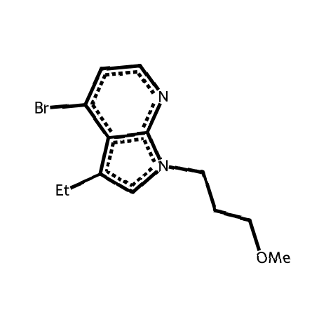 CCc1cn(CCCOC)c2nccc(Br)c12